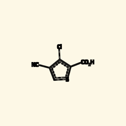 N#Cc1csc(C(=O)O)c1Cl